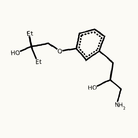 CCC(O)(CC)COc1cccc(CC(O)CN)c1